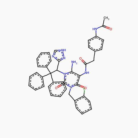 CC(=O)Nc1ccc(CC(=O)Nc2c(N)n(C(c3nc[nH]n3)C(c3ccccc3)(c3ccccc3)c3ccccc3)c(=O)n(Cc3ccccc3F)c2=O)cc1